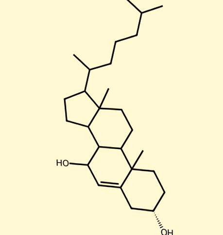 CC(C)CCCC(C)C1CCC2C3C(O)C=C4C[C@@H](O)CCC4(C)C3CCC12C